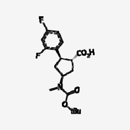 CN(C(=O)OC(C)(C)C)[C@@H]1C[C@@H](C(=O)O)[C@H](c2ccc(F)cc2F)C1